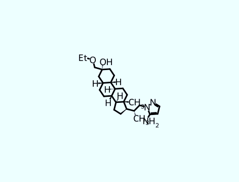 CCOC[C@@]1(O)CC[C@H]2[C@H](CC[C@@H]3[C@@H]2CC[C@]2(C)[C@@H]([C@@H](C)Cn4nccc4N)CC[C@@H]32)C1